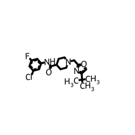 CC(C)(C)c1coc(CN2CCC(C(=O)Nc3cc(F)cc(Cl)c3)CC2)n1